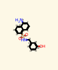 Nc1cccc2c(S(=O)(=O)NCc3cccc(O)c3)cccc12